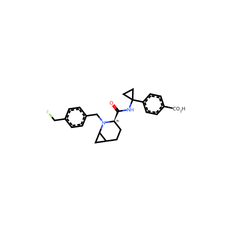 O=C(O)c1ccc(C2(NC(=O)[C@H]3CCC4CC4N3Cc3ccc(CF)cc3)CC2)cc1